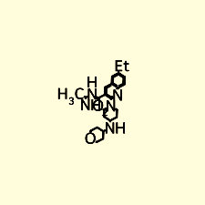 CCc1ccc2nc(N3CCC(NC4CCOCC4)CC3)c(C(=O)NC(C)N)cc2c1